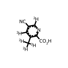 [2H]c1nc(C(=O)O)c(C([2H])([2H])[2H])c([2H])c1C#N